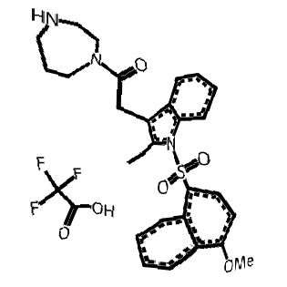 COc1ccc(S(=O)(=O)n2c(C)c(CC(=O)N3CCCNCC3)c3ccccc32)c2ccccc12.O=C(O)C(F)(F)F